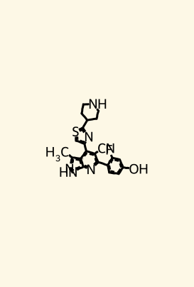 Cc1n[nH]c2nc(-c3ccc(O)cc3F)c(C#N)c(-c3csc(C4CCNCC4)n3)c12